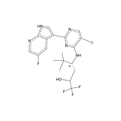 CC(C)(C)[C@@H](CC(O)C(F)(F)F)Nc1nc(-c2c[nH]c3ncc(F)cc23)ncc1I